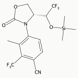 Cc1c(N2C(=O)OC[C@@H]2C(O[Si](C)(C)C)C(F)(F)F)ccc(C#N)c1C(F)(F)F